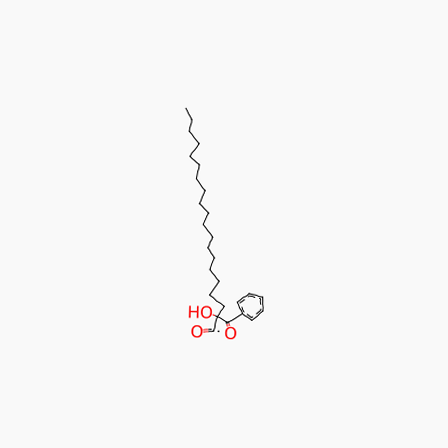 CCCCCCCCCCCCCCCCCCC(O)([C]=O)C(=O)c1ccccc1